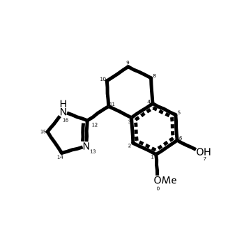 COc1cc2c(cc1O)CCCC2C1=NCCN1